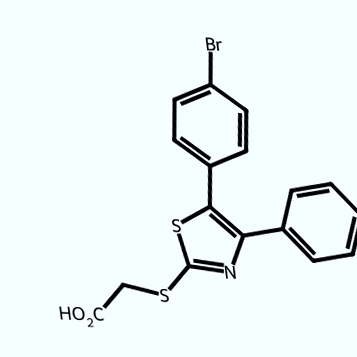 O=C(O)CSc1nc(-c2ccccc2)c(-c2ccc(Br)cc2)s1